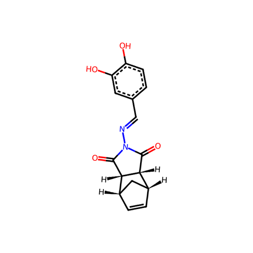 O=C1[C@@H]2[C@H](C(=O)N1/N=C/c1ccc(O)c(O)c1)[C@@H]1C=C[C@H]2C1